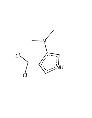 CN(C)c1cc[nH]c1.ClCCl